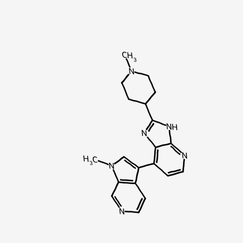 CN1CCC(c2nc3c(-c4cn(C)c5cnccc45)ccnc3[nH]2)CC1